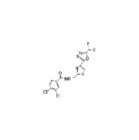 O=C(NCCc1nc(-c2nnc(C(F)F)o2)cs1)c1ccc(Cl)c(Cl)c1